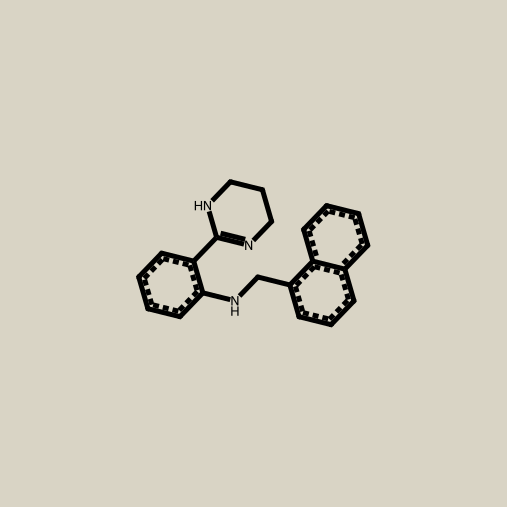 c1ccc(C2=NCCCN2)c(NCc2cccc3ccccc23)c1